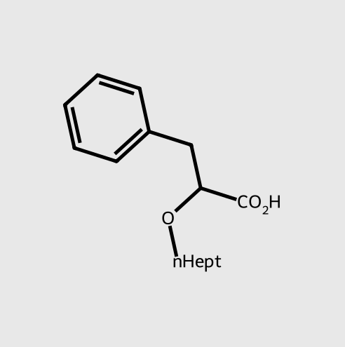 CCCCCCCOC(Cc1ccccc1)C(=O)O